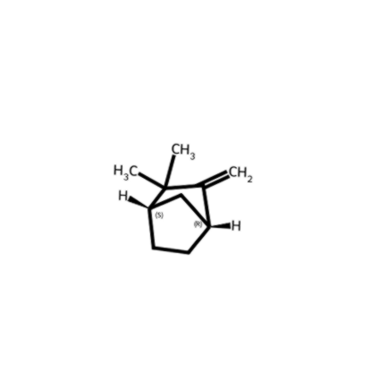 C=C1[C@@H]2CC[C@@H](C2)C1(C)C